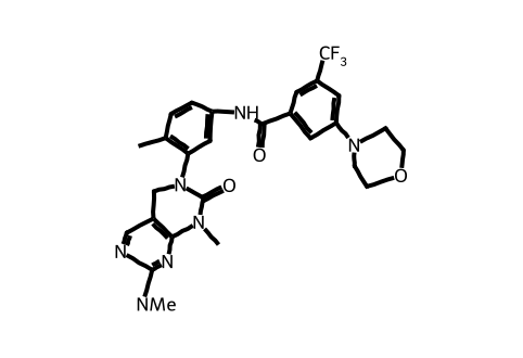 CNc1ncc2c(n1)N(C)C(=O)N(c1cc(NC(=O)c3cc(N4CCOCC4)cc(C(F)(F)F)c3)ccc1C)C2